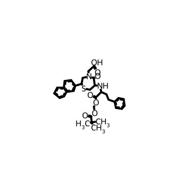 CC(C)(C)C(=O)OCOC(=O)C(CCc1ccccc1)NC1CSC(c2ccc3ccccc3c2)CN(CC(=O)O)C1=O